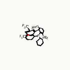 COc1ccc(OC)c(P(C2CCCCC2)C2CCCCC2)c1-c1cc(C(F)(F)F)cc(C(F)(F)F)c1